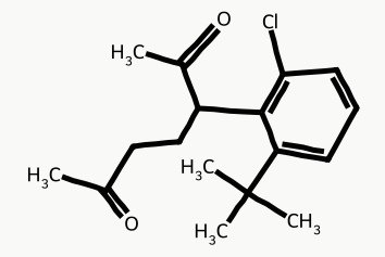 CC(=O)CCC(C(C)=O)c1c(Cl)cccc1C(C)(C)C